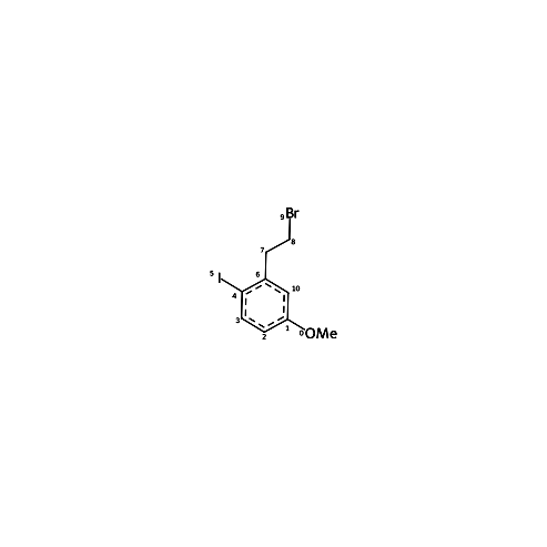 COc1ccc(I)c(CCBr)c1